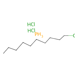 CCCCCCCCCCCl.Cl.Cl.P